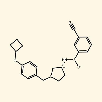 N#Cc1cccc([S+]([O-])N[C@@H]2CCN(Cc3ccc(OC4CCC4)cc3)C2)c1